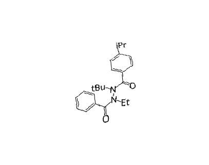 CCN(C(=O)c1ccccc1)N(C(=O)c1ccc(C(C)C)cc1)C(C)(C)C